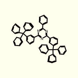 C1=C=CC(C(c2ccccc2)(c2ccccc2)c2cccc(-c3nc(-c4ccccc4)nc(-c4cccc(C(C5=C=CC=CC5)(c5cc#ccc5)c5ccccc5)c4)n3)c2)=CC=1